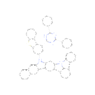 c1ccc(-c2nc(-c3ccccc3)nc(-c3cc(-n4c5cc6ccccc6cc5c5cc6c7cccc8c9ccccc9n(c6cc54)c87)cc4sc5ccccc5c34)n2)cc1